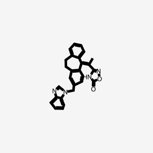 C/C(=C1\c2ccccc2CCc2cc(Cn3cnc4ccccc43)ccc21)c1noc(=O)[nH]1